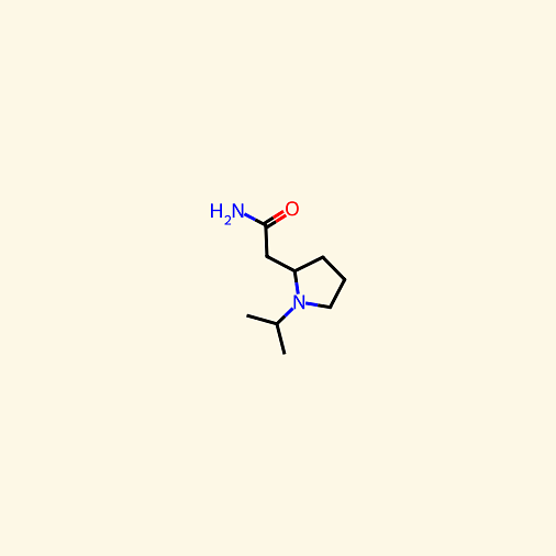 CC(C)N1CCCC1CC(N)=O